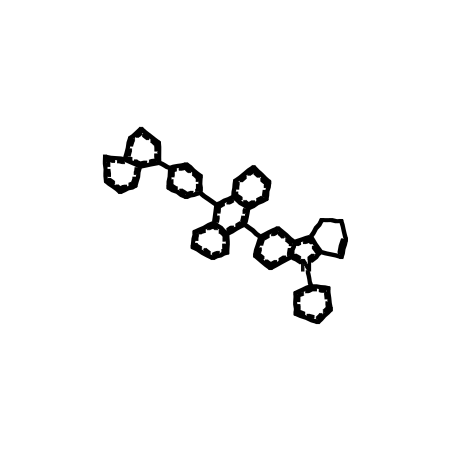 C1=Cc2c(c3cc(-c4c5ccccc5c(-c5ccc(-c6cccc7ccccc67)cc5)c5ccccc45)ccc3n2-c2ccccc2)CC1